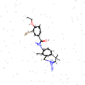 CCOc1ccc(C(=O)Nc2ccc3c(c2C)CNCC3(C)C)cc1Br